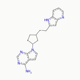 Nc1ncnc2c1ccn2C1CCC(CCc2cc3ncccc3[nH]2)C1